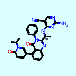 CC(C)n1cc(-c2cccc3nc([C@H](C)Nc4nc(N)ncc4C#N)n(-c4ccccc4)c(=O)c23)ccc1=O